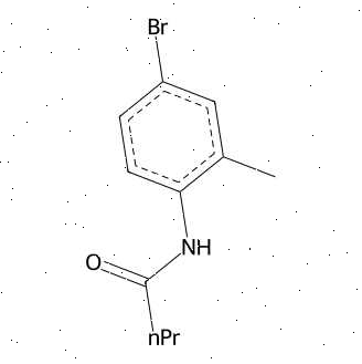 CCCC(=O)Nc1ccc(Br)cc1C